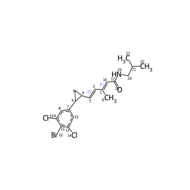 CC(/C=C/C1CC1c1cc(Cl)c(Br)c(Cl)c1)=C\C(=O)NCC(C)C